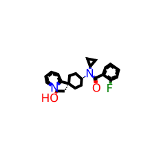 O=C(c1ccccc1F)N(C1CC1)[C@H]1CC[C@](CCO)(c2ccccn2)CC1